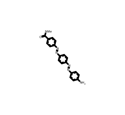 CNC(=O)c1ccc(N=Nc2ccc(N=Nc3ccc(N)cc3)cc2)cc1